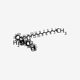 CCCCCCCCCCCCCCCCCCC1C2CC=CC=C2[C](C)([Ti+3])C1(C)[SiH2]c1ccccc1.[Cl-].[Cl-].[Cl-]